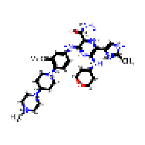 COc1cc(Nc2nc(NC3CCOCC3)c(-c3c[nH]c(C)n3)nc2C(N)=O)ccc1N1CCC(N2CCN(C)CC2)CC1